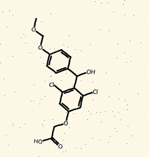 COCOc1ccc(C(O)c2c(Cl)cc(OCC(=O)O)cc2Cl)cc1